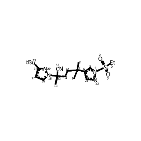 CCS(=O)(=O)n1cc(C(C)(C)CCC(C)(C#N)n2ccc(C(C)(C)C)n2)cn1